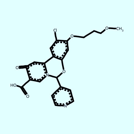 COCCCOc1cc2c(cc1Cl)-c1cc(=O)c(C(=O)O)cn1C(c1ccncc1)O2